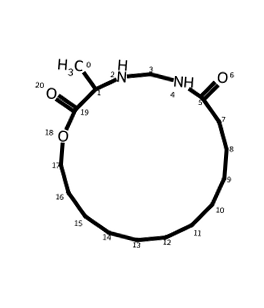 CC1NCNC(=O)CCCCCCCCCCCOC1=O